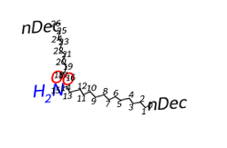 CCCCCCCCCCCCCCCCCCCCCCCC(N)OC(=O)CCCCCCCCCCCCCCCCC